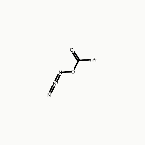 CCCC(=O)ON=[N+]=[N-]